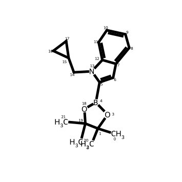 CC1(C)OB(c2cc3ccccc3n2CC2CC2)OC1(C)C